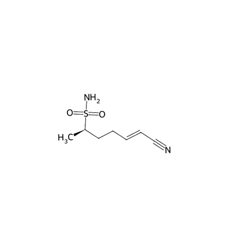 C[C@H](CCC=CC#N)S(N)(=O)=O